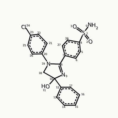 NS(=O)(=O)c1ccc(C2=NC(O)(c3ccccc3)CN2c2ccc(Cl)cc2)cc1